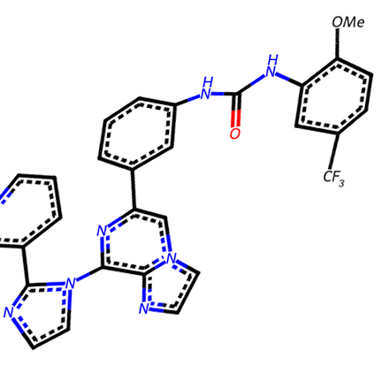 COc1ccc(C(F)(F)F)cc1NC(=O)Nc1cccc(-c2cn3ccnc3c(-n3ccnc3-c3cccnc3)n2)c1